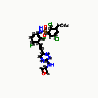 CC(=O)OCc1cc(Cl)cc(S(=O)(=O)Nc2ccc(F)c(C#Cc3cnc(NC4COC4)nn3)c2F)c1Cl